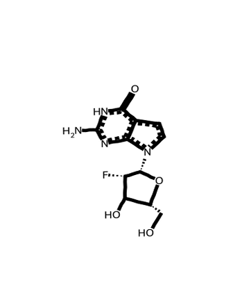 Nc1nc2c(ccn2[C@@H]2O[C@H](CO)C(O)[C@@H]2F)c(=O)[nH]1